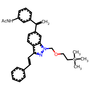 C=C(c1cccc(NC(C)=O)c1)c1ccc2c(/C=C/c3ccccc3)nn(COCC[Si](C)(C)C)c2c1